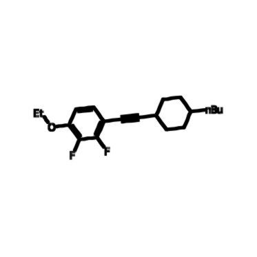 CCCCC1CCC(C#Cc2ccc(OCC)c(F)c2F)CC1